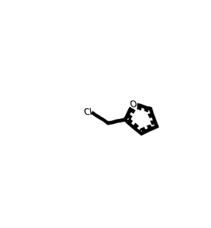 ClCc1ccco1